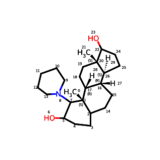 C[C@@]12C(CCC(O)C1N1CCCCC1)CC[C@@H]1[C@H]2CC[C@]2(C)C(O)CC[C@@H]12